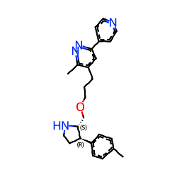 Cc1ccc([C@H]2CCN[C@@H]2COCCCc2cc(-c3ccncc3)nnc2C)cc1